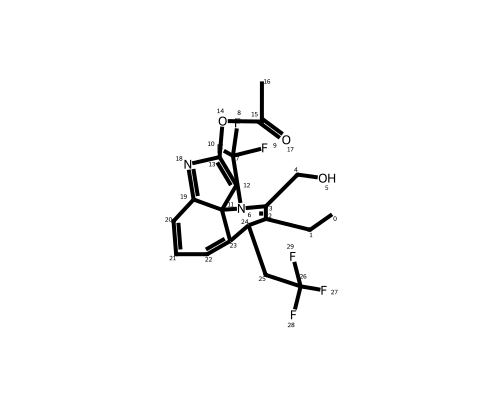 CCC1=C(CO)N(C(F)(F)F)C23C=C(OC(C)=O)N=C2C=CC=C3C1CC(F)(F)F